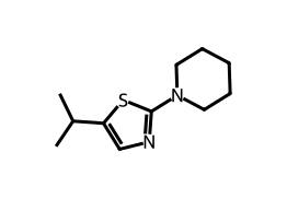 CC(C)c1cnc(N2CCCCC2)s1